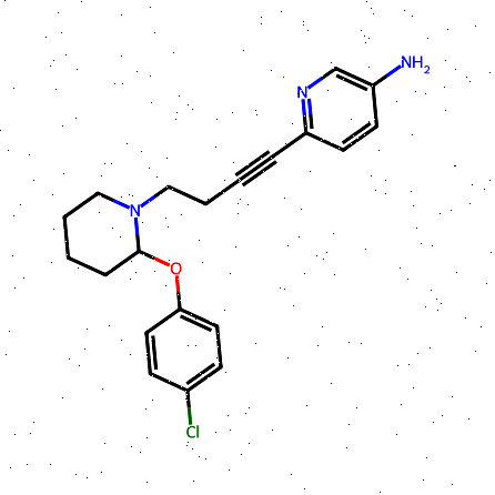 Nc1ccc(C#CCCN2CCCCC2Oc2ccc(Cl)cc2)nc1